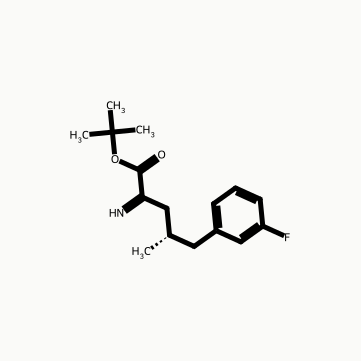 C[C@H](CC(=N)C(=O)OC(C)(C)C)Cc1cccc(F)c1